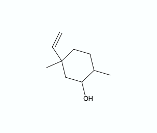 C=CC1(C)CCC(C)C(O)C1